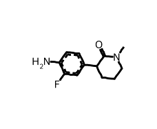 CN1CCCC(c2ccc(N)c(F)c2)C1=O